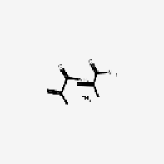 C.C=C(C)C(N)=O.C=C(C)C(N)=O